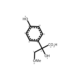 COCC(O)(C(=O)O)c1ccc(O)cc1